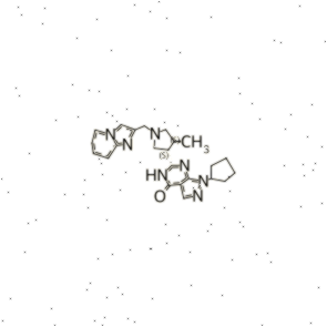 C[C@@H]1CN(Cc2cn3ccccc3n2)C[C@H]1c1nc2c(cnn2C2CCCC2)c(=O)[nH]1